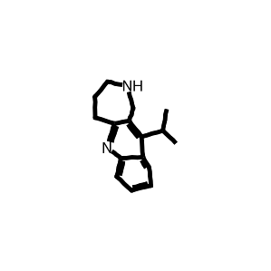 CC(C)c1c2c(nc3ccccc13)CCCNC2